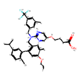 CCOc1cc(-c2cc(C(C)C)ccc2C)c(CN(Cc2cc(C)cc(C(F)(F)F)c2)c2ncc(OCCCC(=O)O)cn2)cc1C